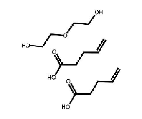 C=CCCC(=O)O.C=CCCC(=O)O.OCCOCCO